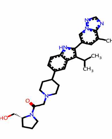 Cc1cc(-c2[nH]c3ccc(C4CCN(CC(=O)N5CCC[C@@H]5CO)CC4)cc3c2C(C)C)cn2ncnc12